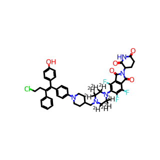 [2H]C1([2H])N(CC2CCN(c3ccc(C(=C(CCCl)c4ccccc4)c4ccc(O)cc4)cc3)CC2)C([2H])([2H])C([2H])([2H])N(c2c(F)c(F)c3c(c2F)C(=O)N(C2CCC(=O)NC2=O)C3=O)C1([2H])[2H]